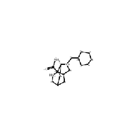 NC(=O)C12NCC3CC1CN(CC1CCCCC1)C2C3